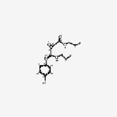 CCCOC(=O)C1OC1C(=Nc1ccc(I)cc1)OCCC